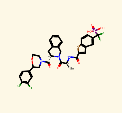 CC(C)(C)[C@H](NC(=O)c1cc2cc(C(F)(F)P(=O)(O)O)ccc2s1)C(=O)N1Cc2ccccc2C[C@H]1C(=O)N1CCOC(c2ccc(Cl)c(Cl)c2)C1